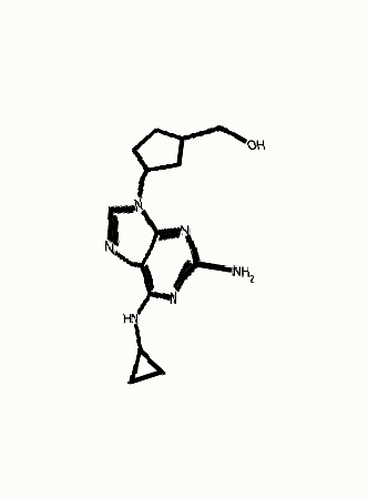 Nc1nc(NC2CC2)c2ncn(C3CCC(CO)C3)c2n1